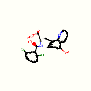 O=C(N[C@@H](Cc1ccc(O)c2cccnc12)C(=O)O)c1c(Cl)cccc1Cl